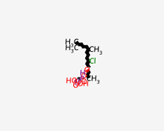 CC(C)=CCCC(C)=CCCC(Cl)=CCOCC(C)O[PH](=O)CP(=O)(O)O